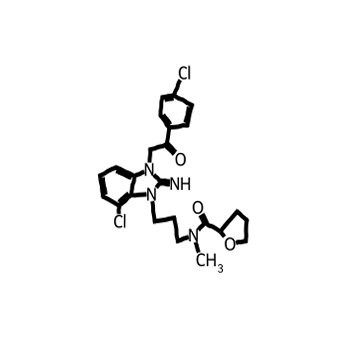 CN(CCCn1c(=N)n(CC(=O)c2ccc(Cl)cc2)c2cccc(Cl)c21)C(=O)C1CCCO1